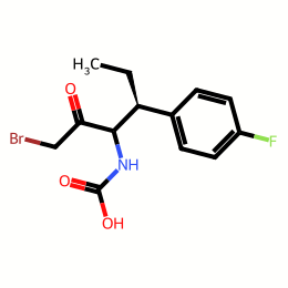 CC[C@@H](c1ccc(F)cc1)C(NC(=O)O)C(=O)CBr